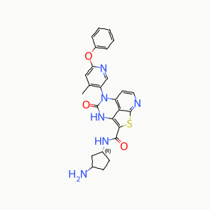 Cc1cc(Oc2ccccc2)ncc1N1C(=O)Nc2c(C(=O)N[C@@H]3CCC(N)C3)sc3nccc1c23